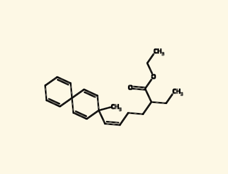 CCOC(=O)C(CC)CC/C=C\C1(C)C=CC2(C=CCC=C2)C=C1